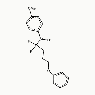 COc1ccc([S+]([O-])C(F)(F)CCCOc2ccccc2)cc1